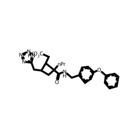 CCCC1(C(=O)NCc2ccc(Oc3ccccc3)cc2)CC(Cc2nnn[nH]2)C1CC(=O)O